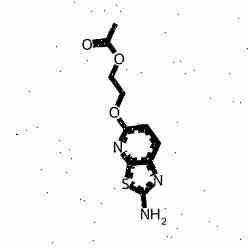 CC(=O)OCCOc1ccc2nc(N)sc2n1